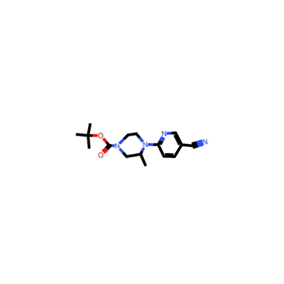 CC1CN(C(=O)OC(C)(C)C)CCN1c1ccc(C#N)cn1